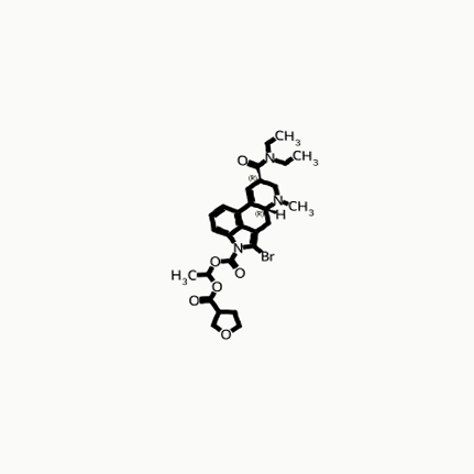 CCN(CC)C(=O)[C@@H]1C=C2c3cccc4c3c(c(Br)n4C(=O)OC(C)OC(=O)C3CCOC3)C[C@H]2N(C)C1